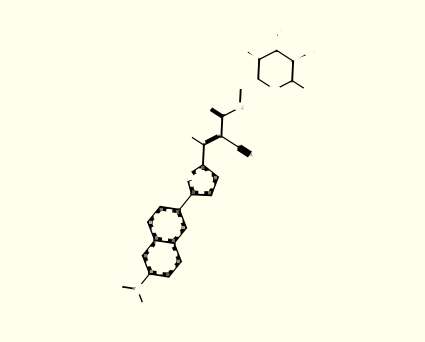 C/C(=C(/C#N)C(=O)NC[C@H]1OC(O)[C@H](O)[C@@H](O)[C@@H]1O)c1ccc(-c2ccc3cc(N(C)C)ccc3c2)o1